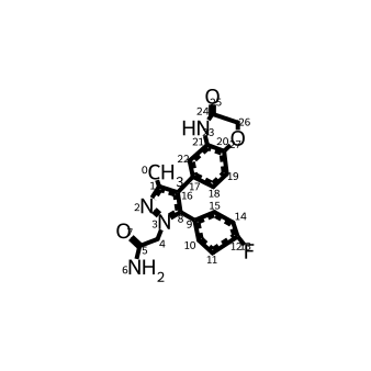 Cc1nn(CC(N)=O)c(-c2ccc(F)cc2)c1-c1ccc2c(c1)NC(=O)CO2